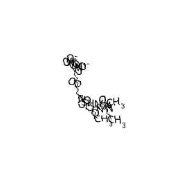 CCCc1nn(C)c2c(=O)[nH]c(-c3cc(S(=O)(=O)N4CC(CCCOC(=O)CCC(CO[N+](=O)[O-])O[N+](=O)[O-])C4)ccc3OCC)nc12